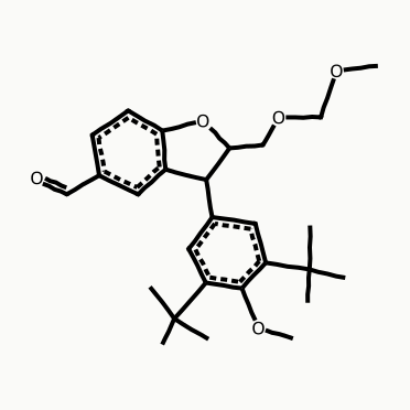 COCOCC1Oc2ccc(C=O)cc2C1c1cc(C(C)(C)C)c(OC)c(C(C)(C)C)c1